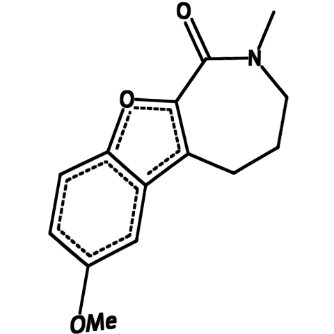 COc1ccc2oc3c(c2c1)CCCN(C)C3=O